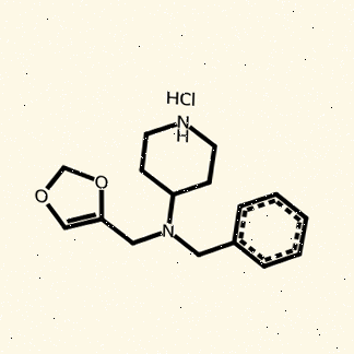 C1=C(CN(Cc2ccccc2)C2CCNCC2)OCO1.Cl